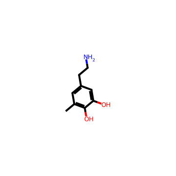 Cc1cc(CCN)cc(O)c1O